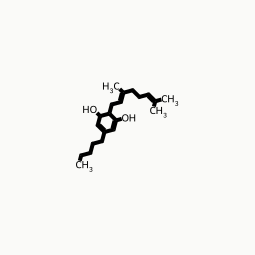 CCCCCC1=CC(O)C(C/C=C(\C)CCC=C(C)C)C(O)=C1